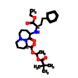 CCOC(=O)[C@H](CCc1ccccc1)NC1CCCN2CCC[C@@H](C(=O)OC(C)OC(=O)C(C)(C)C)N2C1=O